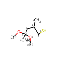 CCO[Si](CC(C)CS)(OC)OCC